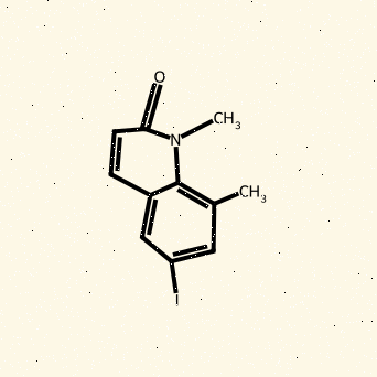 Cc1cc(I)cc2ccc(=O)n(C)c12